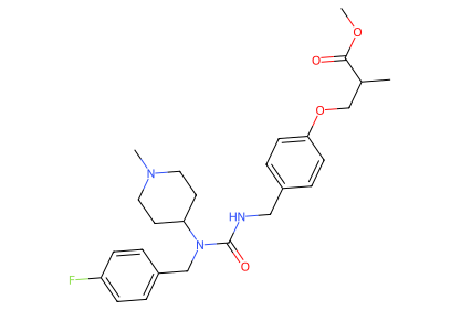 COC(=O)C(C)COc1ccc(CNC(=O)N(Cc2ccc(F)cc2)C2CCN(C)CC2)cc1